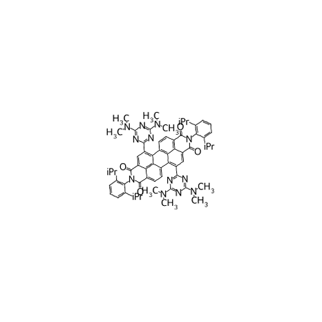 CC(C)c1cccc(C(C)C)c1N1C(=O)c2ccc3c4c(-c5nc(N(C)C)nc(N(C)C)n5)cc5c6c(ccc(c7c(-c8nc(N(C)C)nc(N(C)C)n8)cc(c2c37)C1=O)c64)C(=O)N(c1c(C(C)C)cccc1C(C)C)C5=O